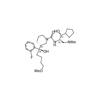 CNC[C@@H](NC(=O)N1CCC[C@@H]([C@](O)(CCCCOC)c2ccccc2F)C1)[C@@H](O)C1CCCC1